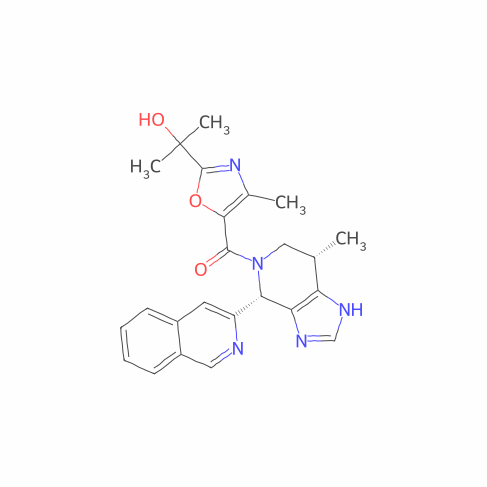 Cc1nc(C(C)(C)O)oc1C(=O)N1C[C@H](C)c2[nH]cnc2[C@@H]1c1cc2ccccc2cn1